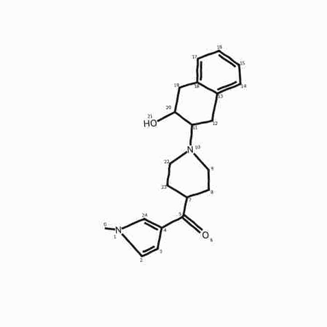 Cn1ccc(C(=O)C2CCN(C3Cc4ccccc4CC3O)CC2)c1